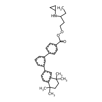 CCC(CCOOC(=O)c1ccc(-c2cccc(-c3ccc4c(c3)C(C)(C)CCC4(C)C)c2)cc1)NC1CC1